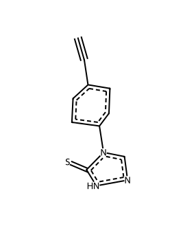 C#Cc1ccc(-n2cn[nH]c2=S)cc1